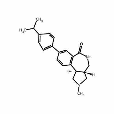 CC(C)c1ccc(-c2ccc3c(c2)C(=O)NC[C@@H]2CN(C)C[C@@H]32)cc1